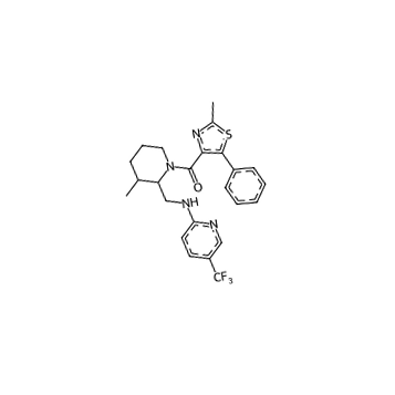 Cc1nc(C(=O)N2CCCC(C)C2CNc2ccc(C(F)(F)F)cn2)c(-c2ccccc2)s1